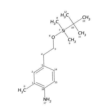 Cc1cc(CCO[Si](C)(C)C(C)(C)C)ccc1N